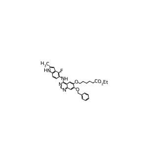 CCOC(=O)CCCCCOc1cc2c(Nc3ccc4[nH]c(C)cc4c3F)ncnc2cc1OCc1ccccc1